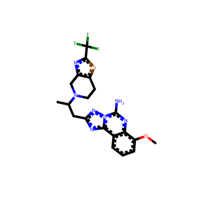 COc1cccc2c1nc(N)n1nc(CC(C)N3CCc4sc(C(F)(F)F)nc4C3)nc21